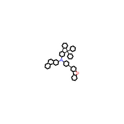 c1ccc(C2(c3ccccc3)c3ccccc3-c3ccc(N(c4ccc(-c5ccc6oc7ccccc7c6c5)cc4)c4ccc5c(ccc6ccccc65)c4)cc32)cc1